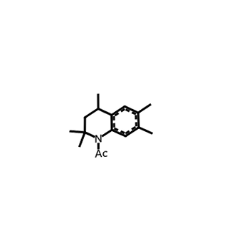 CC(=O)N1c2cc(C)c(C)cc2C(C)CC1(C)C